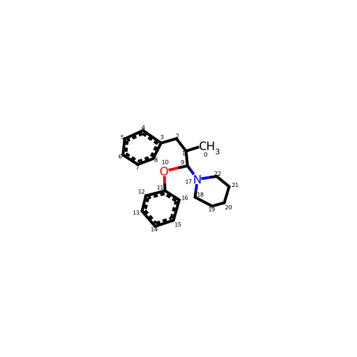 CC(Cc1ccccc1)C(Oc1ccccc1)N1CCCCC1